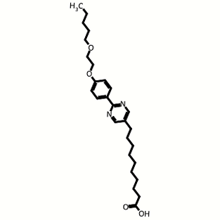 CCCCCOCCOc1ccc(-c2ncc(CCCCCCCCCC(=O)O)cn2)cc1